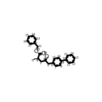 C[C@H](CC(=O)Cc1ccc(-c2ccccc2)cc1)C(=O)OCc1ccccc1